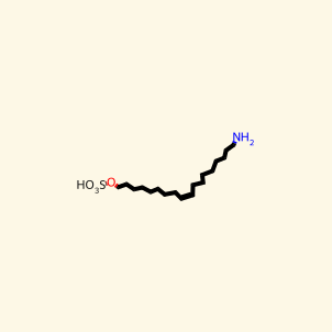 NCCCCCCCC/C=C\CCCCCCCCOS(=O)(=O)O